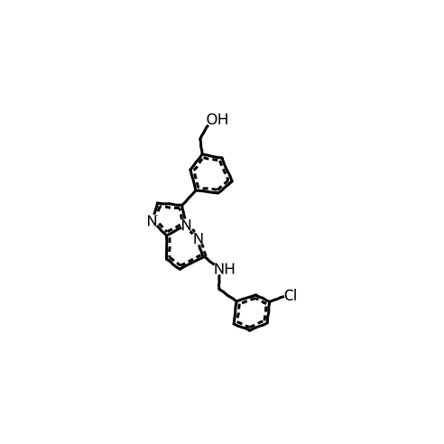 OCc1cccc(-c2cnc3ccc(NCc4cccc(Cl)c4)nn23)c1